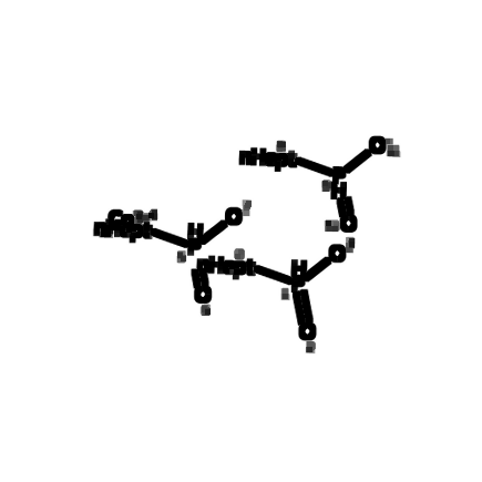 CCCCCCC[PH](=O)[O-].CCCCCCC[PH](=O)[O-].CCCCCCC[PH](=O)[O-].[Co+3]